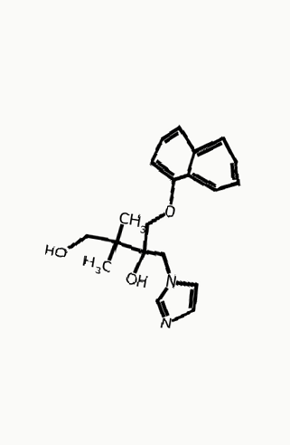 CC(C)(CO)C(O)(COc1cccc2ccccc12)Cn1ccnc1